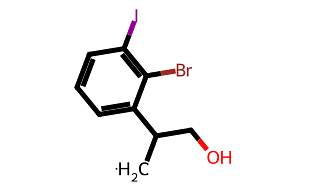 [CH2]C(CO)c1cccc(I)c1Br